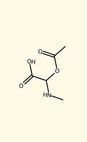 CNC(OC(C)=O)C(=O)O